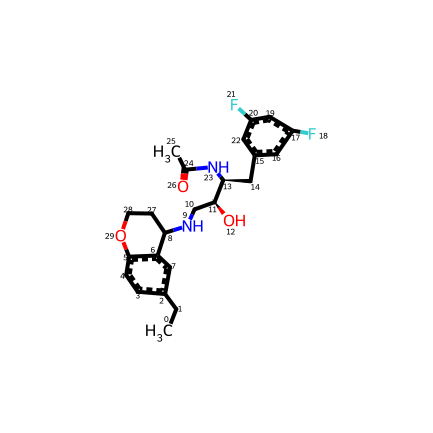 CCc1ccc2c(c1)C(NC[C@H](O)[C@H](Cc1cc(F)cc(F)c1)NC(C)=O)CCO2